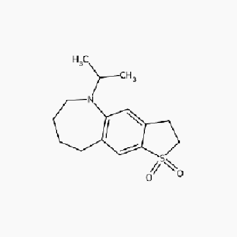 CC(C)N1CCCCc2cc3c(cc21)CCS3(=O)=O